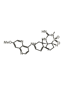 COc1cnc2c(NC3=CC=C(F)C(C)([C@]45CCC[C@H]4S(=O)(=O)N(C)C(=N)N5)C3)ccnc2c1